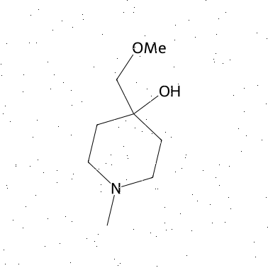 COCC1(O)CCN(C)CC1